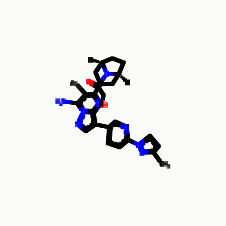 CC(=O)c1c(C2C[C@H]3CC[C@@H](C2)N3C(=O)CO)nc2c(-c3ccc(-n4ccc(C)n4)nc3)cnn2c1N